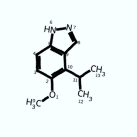 COc1ccc2[nH]ncc2c1C(C)C